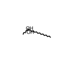 CC[CH]CC(O)(O)CCCCCCCCCCCCCC